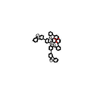 c1ccc(-c2ccccc2N2c3cc(-c4ccc5oc6ccccc6c5c4)ccc3B3c4ccc(-c5ccc6oc7ccccc7c6c5)cc4N(c4ccccc4-c4ccccc4)c4cccc2c43)cc1